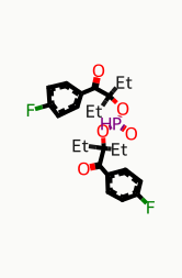 CCC(CC)(O[PH](=O)OC(CC)(CC)C(=O)c1ccc(F)cc1)C(=O)c1ccc(F)cc1